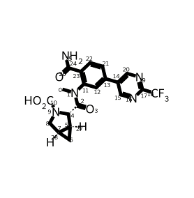 CN(C(=O)[C@@H]1[C@H]2C[C@H]2CN1C(=O)O)c1cc(-c2cnc(C(F)(F)F)nc2)ccc1C(N)=O